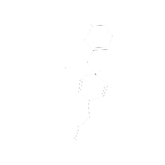 Cl.Cl.NCCC1C=CC(F)(Cc2cccnc2)C=C1